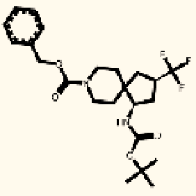 CC(C)(C)OC(=O)N[C@@H]1C[C@H](C(F)(F)F)CC12CCN(C(=O)OCc1ccccc1)CC2